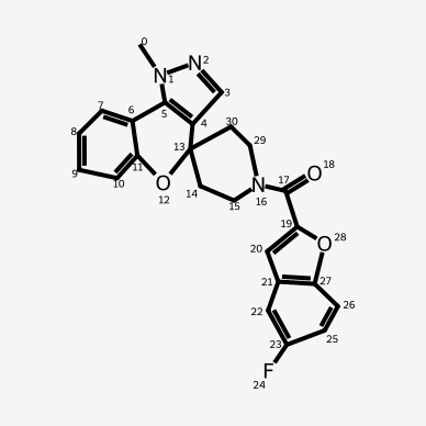 Cn1ncc2c1-c1ccccc1OC21CCN(C(=O)c2cc3cc(F)ccc3o2)CC1